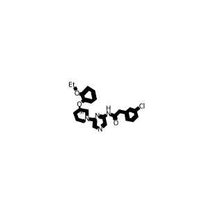 CCOc1ccccc1O[C@@H]1CCCN(c2cncc(NC(=O)Cc3cccc(Cl)c3)n2)C1